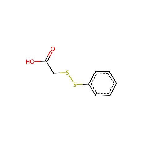 O=C(O)CSSc1ccccc1